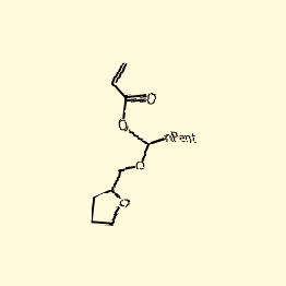 C=CC(=O)OC(CCCCC)OCC1CCCO1